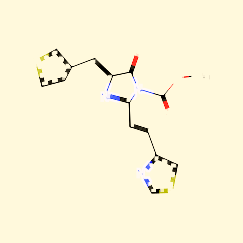 CC(C)(C)OC(=O)N1C(=O)/C(=C/c2ccsc2)N=C1/C=C/c1cscn1